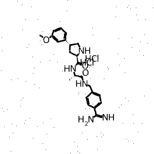 COc1cccc([C@@H]2CN[C@@H](C(=O)N[C@@H](C)C(=O)NCc3ccc(C(=N)N)cc3)C2)c1.Cl.Cl